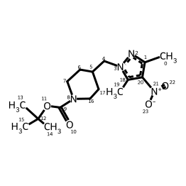 Cc1nn(CC2CCN(C(=O)OC(C)(C)C)CC2)c(C)c1[N+](=O)[O-]